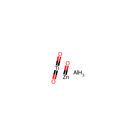 [AlH3].[O]=[Ti]=[O].[O]=[Zn]